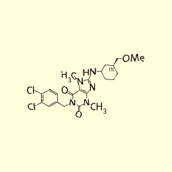 COC[C@H]1CCCC(Nc2nc3c(c(=O)n(Cc4ccc(Cl)c(Cl)c4)c(=O)n3C)n2C)C1